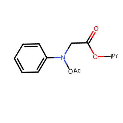 CC(=O)ON(CC(=O)OC(C)C)c1ccccc1